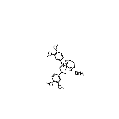 Br.COc1ccc(C(C)CN(c2ccc(OC)c(OC)c2)C2(C)SCCCS2)cc1OC